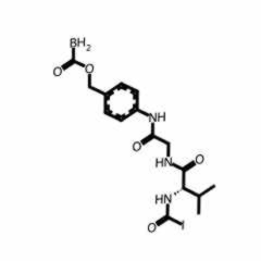 BC(=O)OCc1ccc(NC(=O)CNC(=O)[C@@H](NC(=O)I)C(C)C)cc1